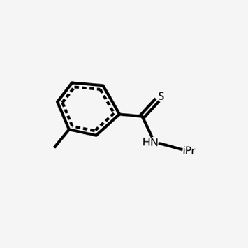 Cc1cccc(C(=S)NC(C)C)c1